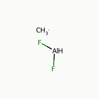 [CH3].[F][AlH][F]